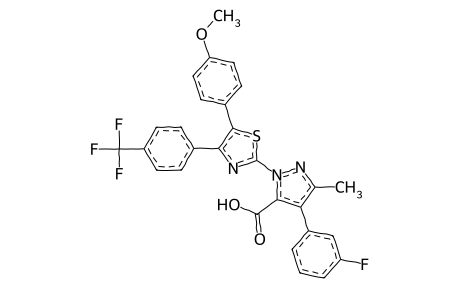 COc1ccc(-c2sc(-n3nc(C)c(-c4cccc(F)c4)c3C(=O)O)nc2-c2ccc(C(F)(F)F)cc2)cc1